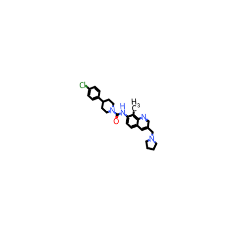 Cc1c(NC(=O)N2CCC(c3ccc(Cl)cc3)CC2)ccc2cc(CN3CCCC3)cnc12